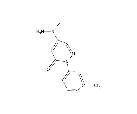 CN(N)c1cnn(-c2cccc(C(F)(F)F)c2)c(=O)c1